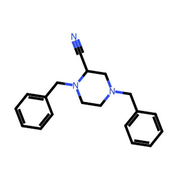 N#CC1CN(Cc2ccccc2)CCN1Cc1ccccc1